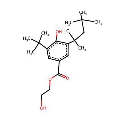 CC(C)(C)CC(C)(C)c1cc(C(=O)OCCO)cc(C(C)(C)C)c1O